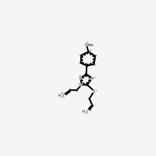 C=CCSc1nc(-c2ccc(OC)cc2)nn1CC=C